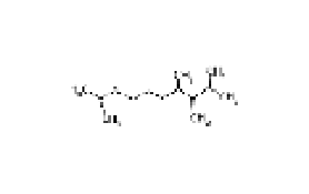 C=C(C(C)C)C(C)CCCNC(C)C